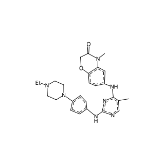 CCN1CCN(c2ccc(Nc3ncc(C)c(Nc4ccc5c(c4)N(C)C(=O)CO5)n3)cc2)CC1